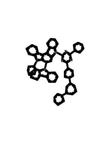 c1ccc(-c2cccc(-c3ccc(-c4nc(-c5ccccc5)nc(-n5c6ccccc6c6c7c8ccccc8n(-c8ccccc8)c7c(-n7c8ccccc8c8ccccc87)cc65)n4)cc3)c2)cc1